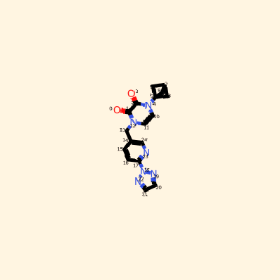 O=c1c(=O)n(C23CC(C2)C3)ccn1Cc1ccc(-n2nccn2)nc1